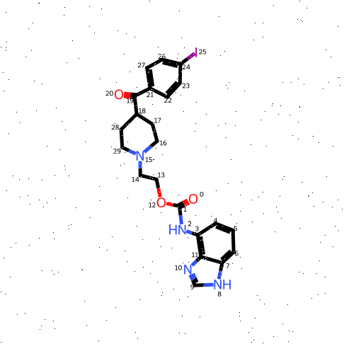 O=C(Nc1cccc2[nH]cnc12)OCCN1CCC(C(=O)c2ccc(I)cc2)CC1